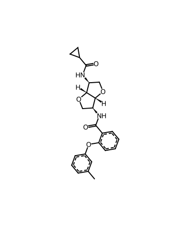 Cc1cccc(Oc2ccccc2C(=O)N[C@H]2CO[C@H]3[C@@H]2OC[C@@H]3NC(=O)C2CC2)c1